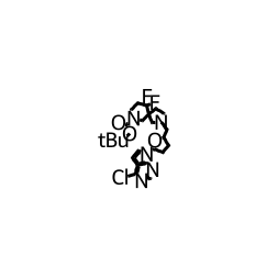 CC(C)(C)OC(=O)N1CCC(F)(F)C2(CCN(CC3CCC(n4ccc5c(Cl)ncnc54)O3)C2)C1